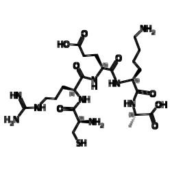 C[C@H](NC(=O)[C@H](CCCCN)NC(=O)[C@H](CCC(=O)O)NC(=O)[C@H](CCCNC(=N)N)NC(=O)[C@@H](N)CS)C(=O)O